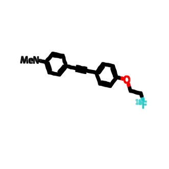 CNc1ccc(C#Cc2ccc(OCC[18F])cc2)cc1